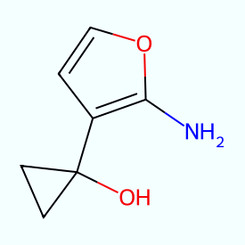 Nc1occc1C1(O)CC1